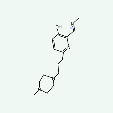 C/N=C/c1nc(CCCN2CCN(C)CC2)ccc1O